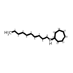 CCCCCCCCCCPC1CCCCCC1